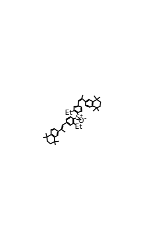 CCc1cc(C=C(C)c2ccc3c(c2)C(C)(C)CCC3(C)C)ccc1[S+]([O-])c1ccc(C=C(C)c2ccc3c(c2)C(C)(C)CCC3(C)C)cc1CC